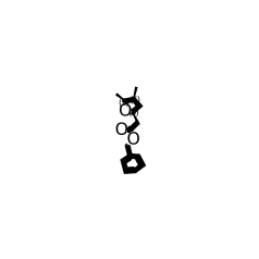 C[C@@H]1O[C@H](CC(=O)OCc2ccccc2)C[C@@H]1C